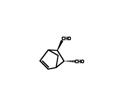 O=C[C@@H]1C2C=CC(C2)[C@H]1C=O